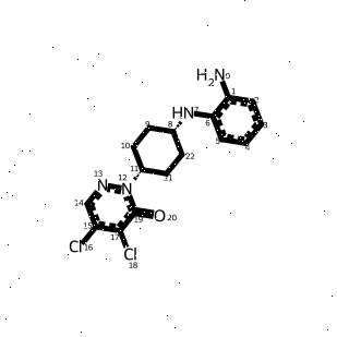 Nc1ccccc1N[C@H]1CC[C@@H](n2ncc(Cl)c(Cl)c2=O)CC1